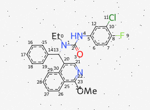 CCN(C(=O)Nc1ccc(F)c(Cl)c1)[C@@H](c1ccccc1)c1cnc(OC)c2ccccc12